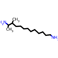 CC(N)C(C)CCCCCCCCCCN